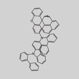 c1ccc(-c2ccccc2N(c2ccc3c(c2)C2(c4ccccc4O3)c3ccccc3-c3cccc4cccc2c34)c2ccc3c(c2)c2ccccc2n3-c2ccccc2-c2ccccc2)cc1